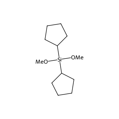 CO[Si](OC)(C1CCCC1)C1CCCC1